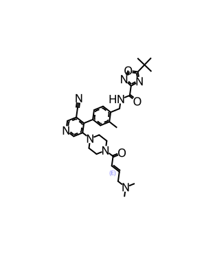 Cc1cc(-c2c(C#N)cncc2N2CCN(C(=O)/C=C/CN(C)C)CC2)ccc1CNC(=O)c1noc(C(C)(C)C)n1